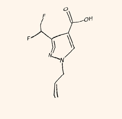 C=CCn1cc(C(=O)O)c(C(F)F)n1